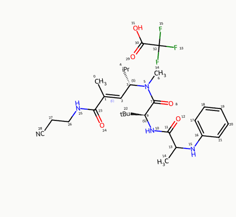 C/C(=C\[C@H](C(C)C)N(C)C(=O)[C@@H](NC(=O)C(C)Nc1ccccc1)C(C)(C)C)C(=O)NCCC#N.O=C(O)C(F)(F)F